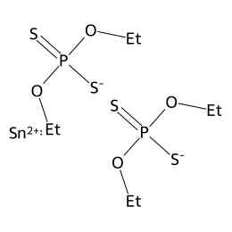 CCOP(=S)([S-])OCC.CCOP(=S)([S-])OCC.[Sn+2]